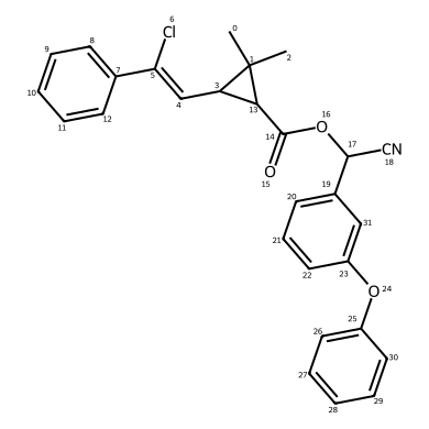 CC1(C)C(C=C(Cl)c2ccccc2)C1C(=O)OC(C#N)c1cccc(Oc2ccccc2)c1